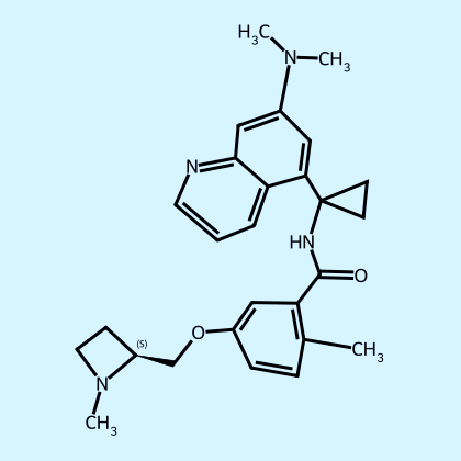 Cc1ccc(OC[C@@H]2CCN2C)cc1C(=O)NC1(c2cc(N(C)C)cc3ncccc23)CC1